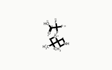 CC1(C)COC12CNC2.O=C(O)C(F)(F)F